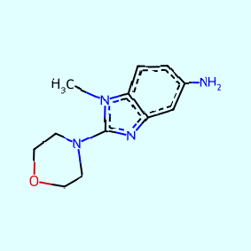 Cn1c(N2CCOCC2)nc2cc(N)ccc21